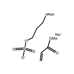 C=CC(=O)OC.CCCCCCCCCCCCOS(=O)(=O)[O-].[Na+]